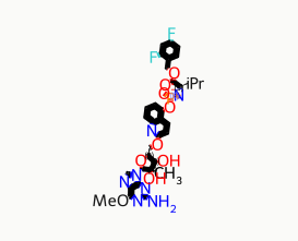 COc1nc(N)nc2c1ncn2C1O[C@H](COc2ccc3c(O/[P+]([O-])=N/[C@H](C(=O)OCc4ccc(F)cc4F)C(C)C)cccc3n2)[C@@H](O)[C@@]1(C)O